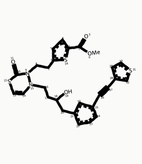 COC(=O)c1ccc(CCN2C(=O)SC=CN2CCC(O)Cc2cccc(C#Cc3ccsc3)c2)s1